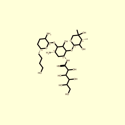 C[C@@H]1C(O)[C@@H](OC2C(O)C(O[C@H]3O[C@H](CCCCO)CCC3N)[C@@H](N)C[C@H]2NC(=N)C(O)C(O)C(O)C(O)CO)OCC1(C)O